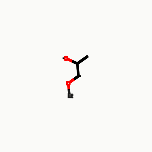 CCO[CH]C(C)[O]